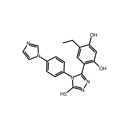 CCc1cc(-c2nnc(S)n2-c2ccc(-n3ccnc3)cc2)c(O)cc1O